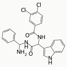 NC(NC(=O)C(NC(=O)c1ccc(Cl)c(Cl)c1)c1c[nH]c2ccccc12)c1ccccc1